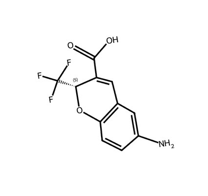 Nc1ccc2c(c1)C=C(C(=O)O)[C@@H](C(F)(F)F)O2